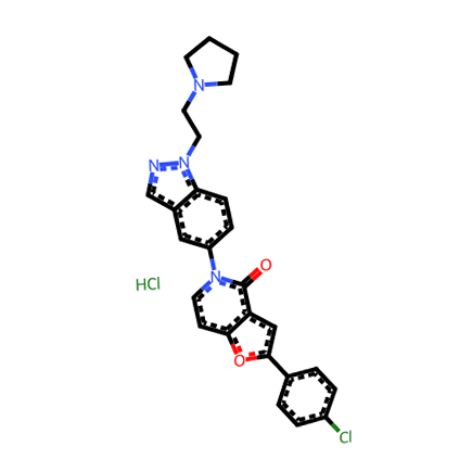 Cl.O=c1c2cc(-c3ccc(Cl)cc3)oc2ccn1-c1ccc2c(cnn2CCN2CCCC2)c1